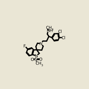 CNCC(CCN1CCC2(CC1)CN(S(C)(=O)=O)c1ccc(F)cc12)c1ccc(Cl)c(Cl)c1